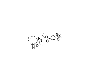 CCc1nn(C[C@@H](C)COC(=O)c2ccc(S(=O)(=O)N(C)C)cc2)c2c1C(=O)NCCCOCCC2